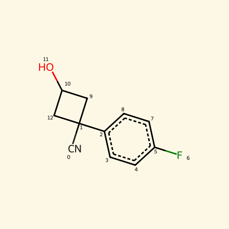 N#CC1(c2ccc(F)cc2)CC(O)C1